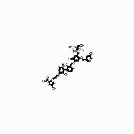 Cc1c(COc2cc(OCc3cncc(C#N)c3)c(CN[C@](C)(CO)C(=O)O)cc2Cl)cccc1-c1cccc(OCCCN2C[C@H](O)C[C@H]2C(N)=O)c1Cl